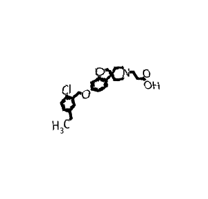 CCc1ccc(Cl)c(COc2ccc3c(c2)OCC32CCN(CCC(=O)O)CC2)c1